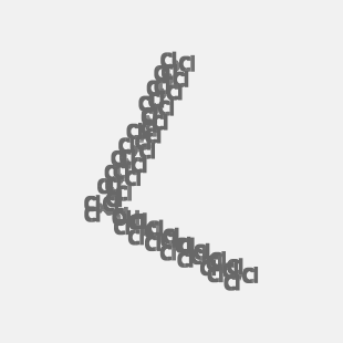 ClC(Cl)Cl.ClC(Cl)Cl.ClC(Cl)Cl.ClC(Cl)Cl.ClC(Cl)Cl.ClC(Cl)Cl.ClC(Cl)Cl.ClC(Cl)Cl.ClC(Cl)Cl.ClC(Cl)Cl.ClC(Cl)Cl.ClC(Cl)Cl.ClC(Cl)Cl.ClC(Cl)Cl.ClC(Cl)Cl.ClC(Cl)Cl.ClC(Cl)Cl.ClC(Cl)Cl.OCCC(Cl)(Cl)Cl